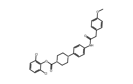 COc1ccc(CC(=O)Nc2ccc(N3CCN(C(=O)Oc4c(Cl)cccc4Cl)CC3)cc2)cc1